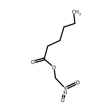 CCCCCC(=O)OC[SH](=O)=O